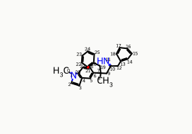 Cn1ccc2cc(C(C)(CC(=N)Cc3ccccc3)Cc3ccccc3)ccc21